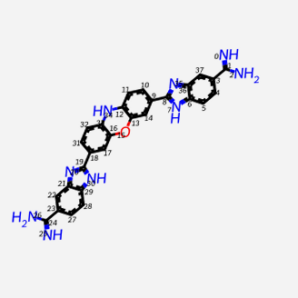 N=C(N)c1ccc2[nH]c(-c3ccc4c(c3)Oc3cc(-c5nc6cc(C(=N)N)ccc6[nH]5)ccc3N4)nc2c1